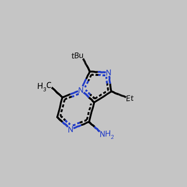 CCc1nc(C(C)(C)C)n2c(C)cnc(N)c12